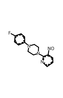 O=Nc1cccnc1N1CCN(c2ccc(F)cc2)CC1